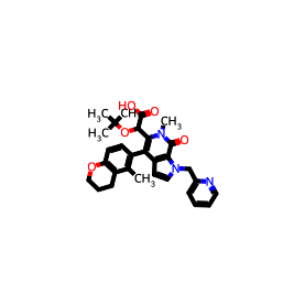 Cc1c(-c2c(C(OC(C)(C)C)C(=O)O)n(C)c(=O)c3c2ccn3Cc2ccccn2)ccc2c1CCCO2